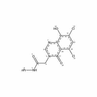 CCCNC(=O)Cn1cnc2c(O)c(Cl)cc(Cl)c2c1=O